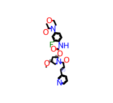 CO[C@@H]1C[C@@H](OC(=O)Nc2ccc(N3CCOCC3=O)cc2F)N(C(=O)/C=C/c2cccnc2)C1